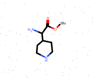 CC(C)(C)OC(=O)C(N)C1CCNCC1